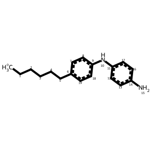 CCCCCCc1ccc(Nc2ccc(N)cc2)cc1